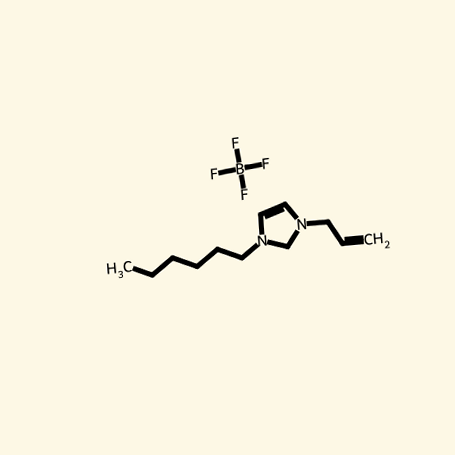 C=CCN1C=CN(CCCCCC)C1.F[B-](F)(F)F